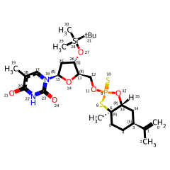 C=C(C)[C@H]1CC[C@@]2(C)SP(=S)(OC[C@H]3O[C@@H](n4cc(C)c(=O)[nH]c4=O)C[C@@H]3O[Si](C)(C)C(C)(C)C)O[C@@H]2C1